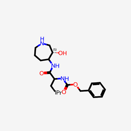 CC(C)CC(NC(=O)OCc1ccccc1)C(=O)NC1CCCNC[C@@H]1O